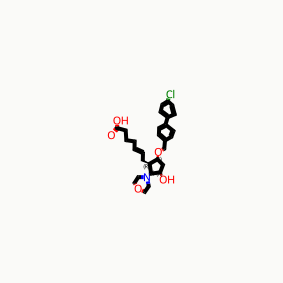 O=C(O)CCCC=CC[C@@H]1[C@@H](N2CCOCC2)[C@H](O)C[C@@H]1OCc1ccc(-c2ccc(Cl)cc2)cc1